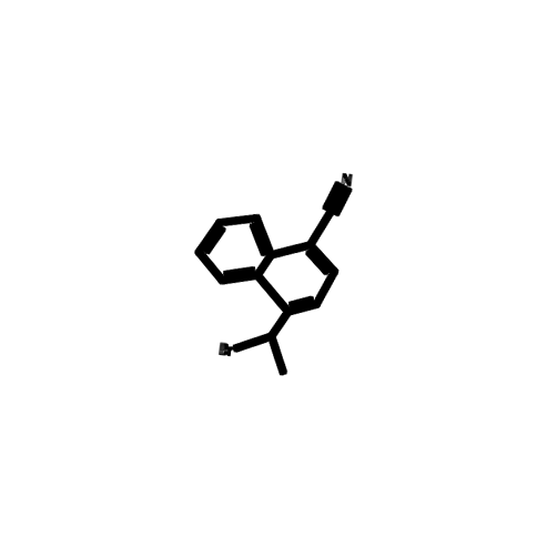 CC(Br)c1ccc(C#N)c2ccccc12